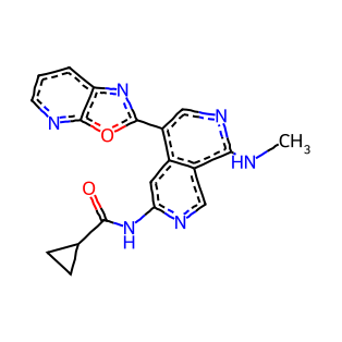 CNc1ncc(-c2nc3cccnc3o2)c2cc(NC(=O)C3CC3)ncc12